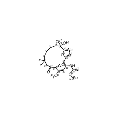 CC1(C)CCCCC(O)(C(F)(F)F)c2nnc(o2)-c2nc(c(C(F)(F)F)cc2NC(=O)OC(C)(C)C)C(=O)C1